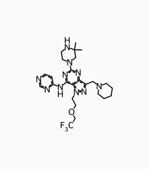 CC1(C)CN(c2nc(Nc3ccncn3)c3c(n2)c(CN2CCCCC2)nn3CCOCC(F)(F)F)CCN1